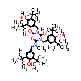 CN(Cc1cc(C(C)(C)C)c(O)c(C(C)(C)C)c1)C(=O)N(Cc1cc(C(C)(C)C)c(O)c(C(C)(C)C)c1)C(=O)N(C=O)Cc1cc(C(C)(C)C)c(O)c(C(C)(C)C)c1